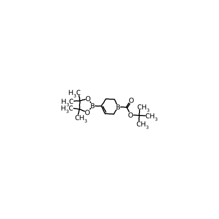 CC(C)(C)OC(=O)B1CC=C(B2OC(C)(C)C(C)(C)O2)CC1